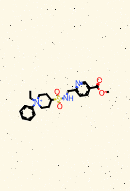 CC[N+]1(c2ccccc2)CCC(S(=O)(=O)NCc2ccc(C(=O)OC)cn2)CC1